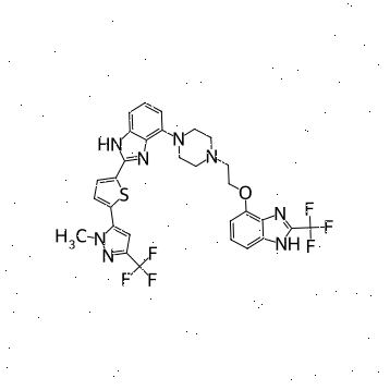 Cn1nc(C(F)(F)F)cc1-c1ccc(-c2nc3c(N4CCN(CCOc5cccc6[nH]c(C(F)(F)F)nc56)CC4)cccc3[nH]2)s1